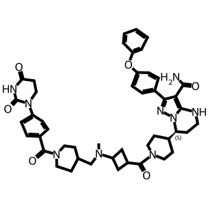 CN(CC1CCN(C(=O)c2ccc(N3CCC(=O)NC3=O)cc2)CC1)C1CC(C(=O)N2CCC([C@@H]3CCNc4c(C(N)=O)c(-c5ccc(Oc6ccccc6)cc5)nn43)CC2)C1